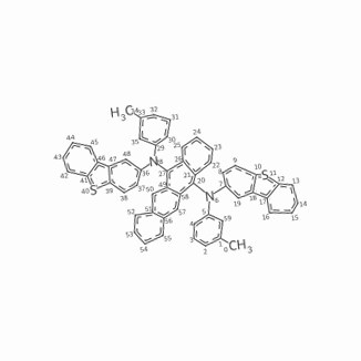 Cc1cccc(N(c2ccc3sc4ccccc4c3c2)c2c3ccccc3c(N(c3cccc(C)c3)c3ccc4sc5ccccc5c4c3)c3cc4ccccc4cc23)c1